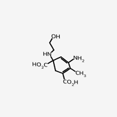 CC1=C(C(=O)O)CC(NCCO)(C(=O)O)C=C1N